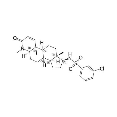 CN1C(=O)C=C[C@]2(C)[C@H]3CC[C@]4(C)[C@@H](NS(=O)(=O)c5cccc(Cl)c5)CC[C@H]4[C@@H]3CC[C@@H]12